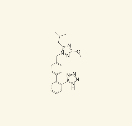 COc1nc(CC(C)C)n(Cc2ccc(-c3ccccc3-c3nnn[nH]3)cc2)n1